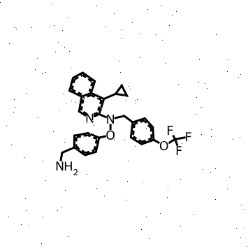 NCc1ccc(ON(Cc2ccc(OC(F)(F)F)cc2)c2ncc3ccccc3c2C2CC2)cc1